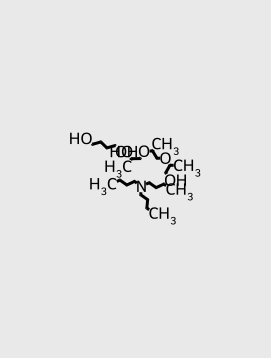 CC(O)COC(C)COC(C)CO.CCCCN(CCCC)CCCC.OCCCCO